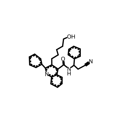 N#CCC(NC(=O)c1c(CCCCCO)c(-c2ccccc2)nc2ccccc12)c1ccccc1